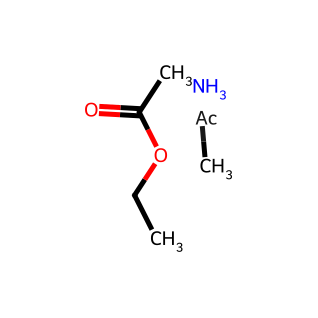 CC(C)=O.CCOC(C)=O.N